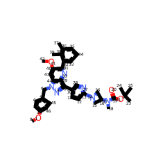 COc1ccc(Cn2nc(-c3ccc(N4CC(N(C)C(=O)OC(C)(C)C)C4)nc3)c3nc(-c4cccc(C)c4C)c(OC)cc32)cc1